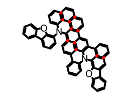 c1ccc(-c2ccccc2N(c2cc3cc(N(c4ccccc4-c4ccccc4)c4cccc5c4oc4ccccc45)c(-c4ccccc4)cc3cc2-c2ccccc2)c2cccc3c2oc2ccccc23)cc1